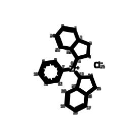 C1=CC2CC[CH]([Zr+]([c]3ccccc3)[CH]3CCC4C=CC=CC43)C2C=C1.[Cl-]